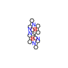 c1ccc([Si](c2ccccc2)(c2cccc3c2oc2c(-n4c5ccccc5c5ccncc54)cccc23)c2nccc3c2oc2c(-n4c5ccccc5c5ccncc54)cccc23)cc1